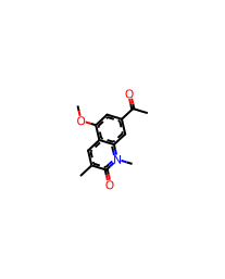 COc1cc(C(C)=O)cc2c1cc(C)c(=O)n2C